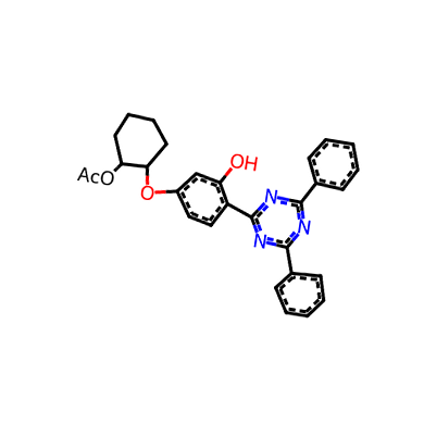 CC(=O)OC1CCCCC1Oc1ccc(-c2nc(-c3ccccc3)nc(-c3ccccc3)n2)c(O)c1